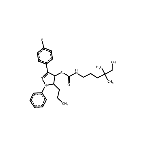 CCCC1C(OC(=O)NCCCC(C)(C)CO)C(c2ccc(F)cc2)=NN1c1ccccc1